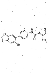 Cc1cnsc1C(=O)Nc1ccc(-c2cc3c(cc2Br)OCO3)cc1